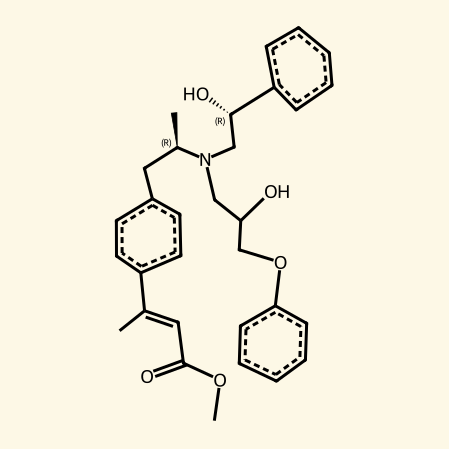 COC(=O)C=C(C)c1ccc(C[C@@H](C)N(CC(O)COc2ccccc2)C[C@H](O)c2ccccc2)cc1